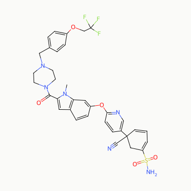 Cn1c(C(=O)N2CCN(Cc3ccc(OCC(F)(F)F)cc3)CC2)cc2ccc(Oc3ccc(C4(C#N)C=CC=C(S(N)(=O)=O)C4)cn3)cc21